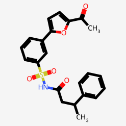 CC(=O)c1ccc(-c2cccc(S(=O)(=O)NC(=O)CC(C)c3ccccc3)c2)o1